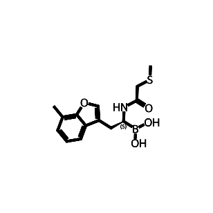 CSCC(=O)N[C@H](Cc1coc2c(C)cccc12)B(O)O